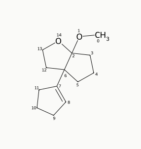 COC12CCCC1(C1=CCCC1)CCO2